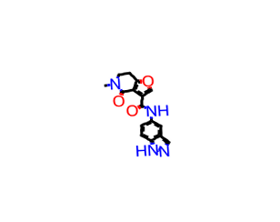 CN1CCc2occ(C(=O)Nc3ccc4[nH]ncc4c3)c2C1=O